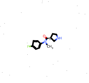 CN(C(=O)[C@H]1CCNC1)c1ccc(F)cc1